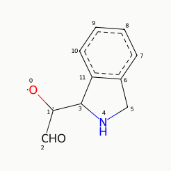 [O][C](C=O)C1NCc2ccccc21